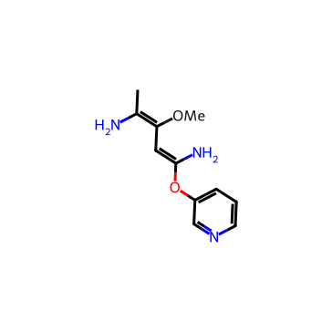 COC(/C=C(\N)Oc1cccnc1)=C(\C)N